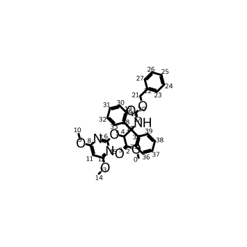 COC(=O)C(Oc1nc(OC)cc(OC)n1)C(NC(=O)OCc1ccccc1)(c1ccccc1)c1ccccc1